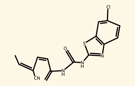 C=C(/C=C\C(C#N)=C/C)NC(=O)Nc1nc2ccc(Cl)cc2s1